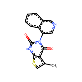 Cc1csc2[nH]c(=O)n(-c3cncc4ccccc34)c(=O)c12